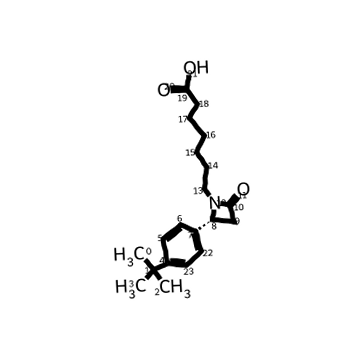 CC(C)(C)c1ccc([C@H]2CC(=O)N2CCCCCCC(=O)O)cc1